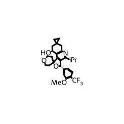 COc1cc([C@@H]2OC3(CCOCC3)c3c2c(C(C)C)nc2c3[C@@H](O)CC3(CC3)C2)ccc1C(F)(F)F